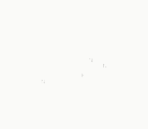 N#CC1=CCC([C@@H]2CCc3cncn32)C(F)=C1